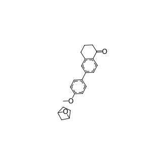 C1CC2CC1O2.COc1ccc(-c2ccc3c(c2)CCCC3=O)cc1